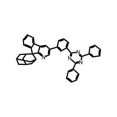 c1ccc(-c2nc(-c3ccccc3)nc(-c3cccc(-c4cnc5c(c4)-c4ccccc4C54C5CC6CC(C5)CC4C6)c3)n2)cc1